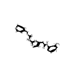 Nc1ccccc1NC(=O)Cc1csc(NC(=O)OCc2ccncc2)n1